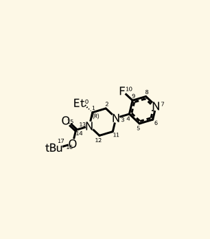 CC[C@@H]1CN(c2ccncc2F)CCN1C(=O)OC(C)(C)C